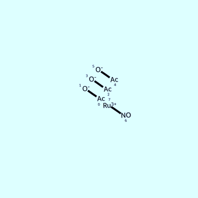 CC(=O)[O-].CC(=O)[O-].CC(=O)[O-].O=[N][Ru+3]